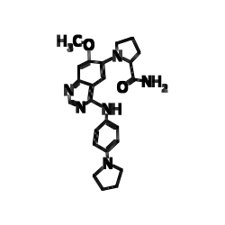 COc1cc2ncnc(Nc3ccc(N4CCCC4)cc3)c2cc1N1CCCC1C(N)=O